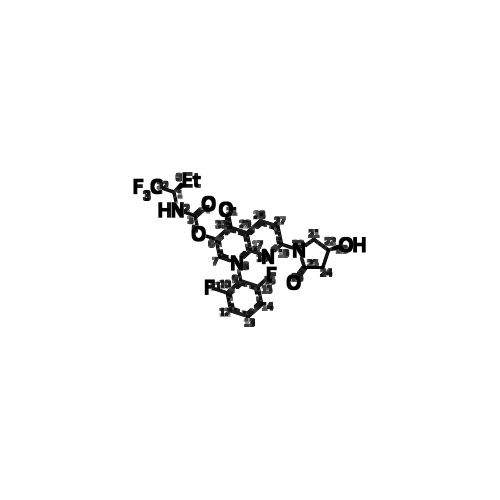 CC[C@@H](NC(=O)Oc1cn(-c2c(F)cccc2F)c2nc(N3C[C@@H](O)CC3=O)ccc2c1=O)C(F)(F)F